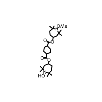 CON1C(C)(C)CCC(OC(=O)C2CCC(C(=O)OC3CCC(C)(C)N(O)C(C)(C)C3)CC2)CC1(C)C